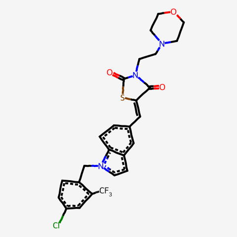 O=C1S/C(=C\c2ccc3c(ccn3Cc3ccc(Cl)cc3C(F)(F)F)c2)C(=O)N1CCN1CCOCC1